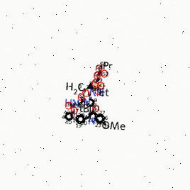 C=C[C@@H]1C[C@]1(NC(=O)[C@@H]1C[C@@H](Oc2cc(-c3ccccc3)nc3cc(OC)ccc23)CN1C(=O)[C@@H](NC(=O)OC1CCCC1)C(C)(C)C)P(=O)(OCC)OCOC(=O)OC(C)C